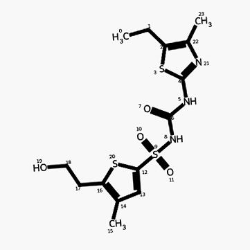 CCc1sc(NC(=O)NS(=O)(=O)c2cc(C)c(CCO)s2)nc1C